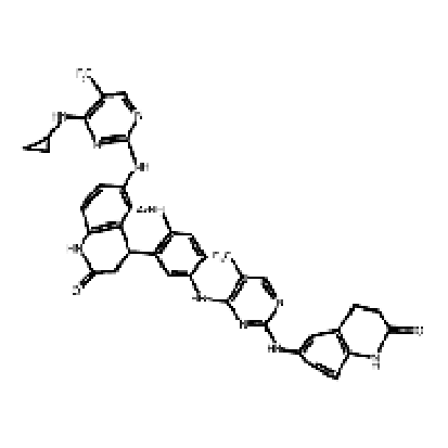 CC(=O)Nc1ccc(Nc2nc(Nc3ccc4c(c3)CCC(=O)N4)ncc2C(F)(F)F)cc1C1CC(=O)Nc2ccc(Nc3ncc(C(F)(F)F)c(NC4CC4)n3)cc21